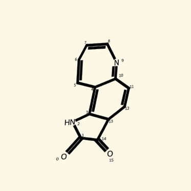 O=C1NC2=C3C=CC=CN=C3C=CC2C1=O